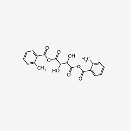 Cc1ccccc1C(=O)OC(=O)C(O)C(O)C(=O)OC(=O)c1ccccc1C